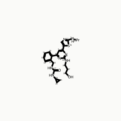 CC(C)Nc1ncc(-c2cc(-c3ccccc3CNC(=O)NC3CC3)nc(NCCCO)n2)s1